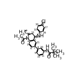 CC(=O)N1c2ccc(-c3cccc(NC(=O)C(C)(C)C)c3)cc2[C@H](Nc2ccc(Cl)cc2)C[C@@H]1C